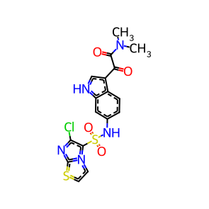 CN(C)C(=O)C(=O)c1c[nH]c2cc(NS(=O)(=O)c3c(Cl)nc4sccn34)ccc12